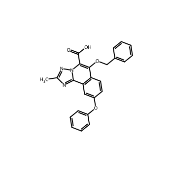 Cc1nc2c3cc(Oc4ccccc4)ccc3c(OCc3ccccc3)c(C(=O)O)n2n1